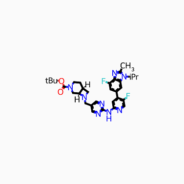 Cc1nc2c(F)cc(-c3cc(Nc4ncc(CN5C[C@@H]6CCN(C(=O)OC(C)(C)C)C[C@@H]65)cn4)ncc3F)cc2n1C(C)C